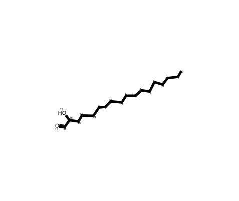 CCCCCCCCCCCCCCCCC(O)C=O